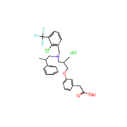 CC(COc1cccc(CC(=O)O)c1)CN(Cc1cccc(C(F)(F)F)c1Cl)CC(C)c1ccccc1.Cl